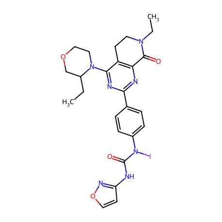 CCC1COCCN1c1nc(-c2ccc(N(I)C(=O)Nc3ccon3)cc2)nc2c1CCN(CC)C2=O